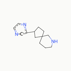 c1cnc(C2CCC3(CCCNC3)C2)cn1